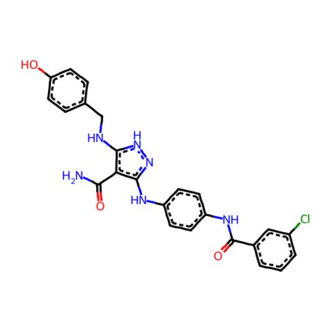 NC(=O)c1c(Nc2ccc(NC(=O)c3cccc(Cl)c3)cc2)n[nH]c1NCc1ccc(O)cc1